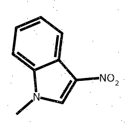 Cn1cc([N+](=O)[O-])c2ccccc21